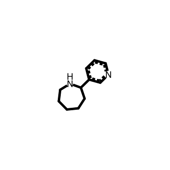 c1cncc(C2CCCCCN2)c1